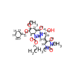 C=CCOC(=O)Nc1cc(OCc2ccccc2)c(OC)cc1C(=O)N1CCC(c2cn(C)c(=O)n(C)c2=O)=C[C@H]1CO